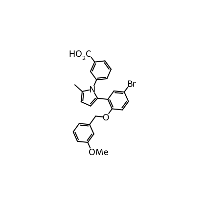 COc1cccc(COc2ccc(Br)cc2-c2ccc(C)n2-c2cccc(C(=O)O)c2)c1